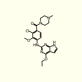 CCOc1nc(Nc2ccc(C(=O)N3CCN(C)CC3)c(Cl)c2OC)nc2[nH]ccc12